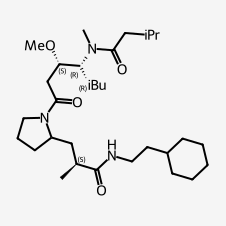 CC[C@@H](C)[C@H]([C@H](CC(=O)N1CCCC1C[C@H](C)C(=O)NCCC1CCCCC1)OC)N(C)C(=O)CC(C)C